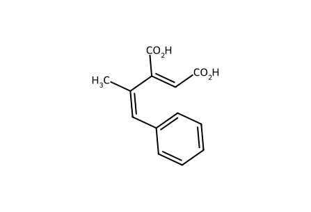 CC(=Cc1ccccc1)C(=CC(=O)O)C(=O)O